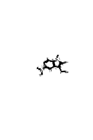 CCc1c(C)n(C)c2ccc(N(C)C)cc12